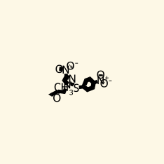 CC1(Cn2cc([N+](=O)[O-])nc2Sc2ccc([N+](=O)[O-])cc2)CO1